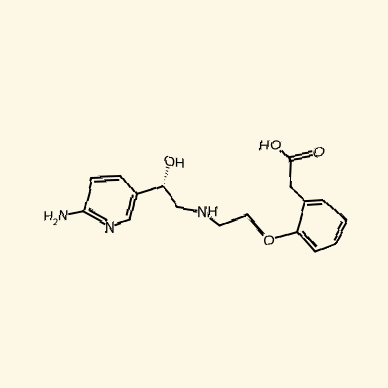 Nc1ccc([C@H](O)CNCCOc2ccccc2CC(=O)O)cn1